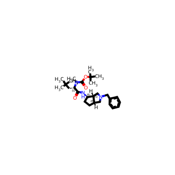 CN(C(=O)OC(C)(C)C)[C@@H](CC(C)(C)C)C(=O)N[C@@H]1CC[C@H]2CN(Cc3ccccc3)C[C@H]21